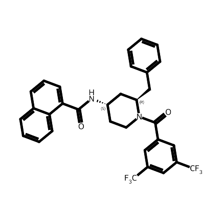 O=C(N[C@H]1CCN(C(=O)c2cc(C(F)(F)F)cc(C(F)(F)F)c2)[C@H](Cc2ccccc2)C1)c1cccc2ccccc12